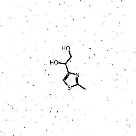 Cc1nc(C(O)CO)cs1